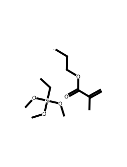 CC[Si](OC)(OC)OC.[CH2]CCOC(=O)C(=C)C